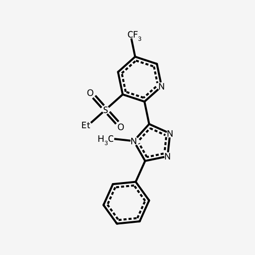 CCS(=O)(=O)c1cc(C(F)(F)F)cnc1-c1nnc(-c2ccccc2)n1C